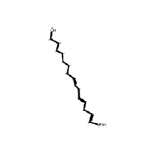 CCCCC/C=C/C/C=C/C/C=C/CCCCCCCO